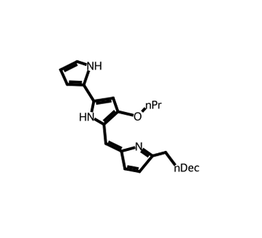 CCCCCCCCCCCC1=NC(=Cc2[nH]c(-c3ccc[nH]3)cc2OCCC)C=C1